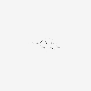 CCOC1=NC(=O)OC12CCc1cc(NC(C)=O)ccc12